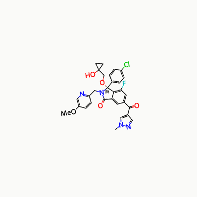 COc1ccc(CN2C(=O)c3cc(C(=O)c4cnn(C)c4)cc(F)c3[C@]2(OCC2(O)CC2)c2ccc(Cl)cc2)nc1